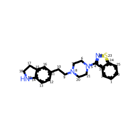 c1ccc2c(N3CCN(CCc4ccc5c(c4)CCN5)CC3)nsc2c1